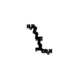 Cl.NCCCCCCC=C(F)C(=O)O